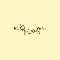 CC(C)(C)OC(=O)N1CC2(CCC(Nc3ccnc(C#N)n3)CC2)C1